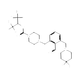 O=Cc1c(CN2CCN(C(=O)OC(C(F)(F)F)C(F)(F)F)CC2)cccc1CN1CCC(F)(F)CC1